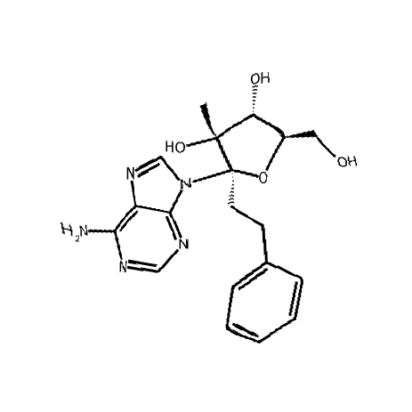 C[C@@]1(O)[C@H](O)[C@@H](CO)O[C@@]1(CCc1ccccc1)n1cnc2c(N)ncnc21